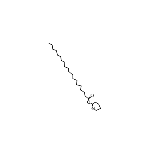 CCCCCCCCCCCCCCCCCCCC(=O)OC1CCCC[N]1